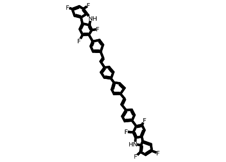 Fc1cc(F)c2[nH]c3c(F)c(-c4ccc(C=Cc5ccc(-c6ccc(C=Cc7ccc(-c8c(F)cc9c([nH]c%10c(F)cc(F)cc%109)c8F)cc7)cc6)cc5)cc4)c(F)cc3c2c1